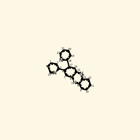 c1ccc(-c2cc3nc4ccccc4nc3cc2-c2ccccn2)nc1